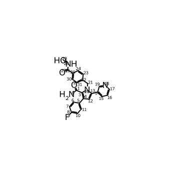 NC(=O)c1c(-c2ccc(F)cc2)cc(-c2cccnc2)n1Cc1ccc(C(=O)NO)cc1